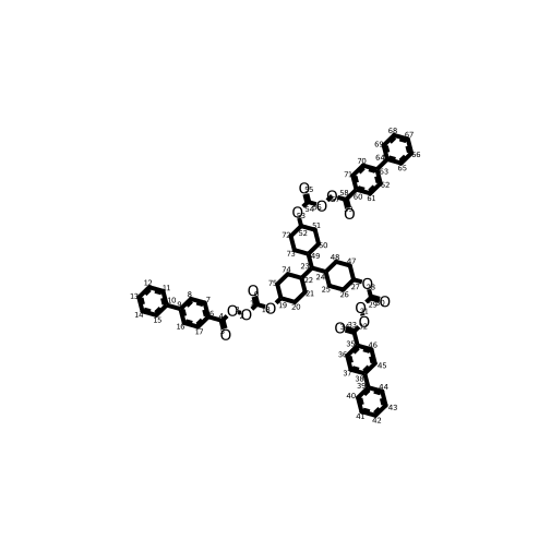 O=C(OOC(=O)c1ccc(-c2ccccc2)cc1)OC1CCC(C(C2CCC(OC(=O)OOC(=O)c3ccc(-c4ccccc4)cc3)CC2)C2CCC(OC(=O)OOC(=O)c3ccc(-c4ccccc4)cc3)CC2)CC1